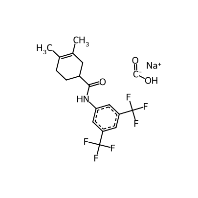 CC1=C(C)CC(C(=O)Nc2cc(C(F)(F)F)cc(C(F)(F)F)c2)CC1.O=[C-]O.[Na+]